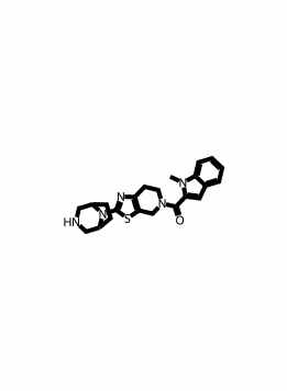 Cn1c(C(=O)N2CCc3nc(N4C5CCC4CNC5)sc3C2)cc2ccccc21